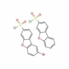 O=S(=O)(Cl)c1ccc2c(c1)oc1ccc(Br)cc12.O=S(=O)(Cl)c1ccc2c(c1)oc1ccccc12